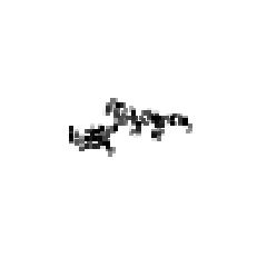 COCC(O)CN1CCC(Nc2cccc3c2cc(C#CCNC(=O)OC(C)(C)C)n3CC(F)(F)F)CC1